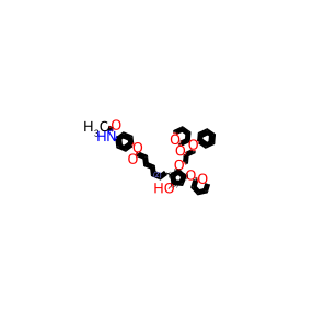 CC(=O)Nc1ccc(OC(=O)CCC/C=C\C[C@@H]2[C@@H](OCC(COc3ccccc3)OC3CCCCO3)[C@H](OC3CCCCO3)C[C@@H]2O)cc1